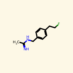 CC(=N)NCc1ccc(CCF)cc1